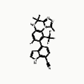 Cc1nnc2n1-c1c(cc(F)c(-c3ccc(C#N)c4[nH]ccc34)c1C(F)(F)F)NC2(C)C